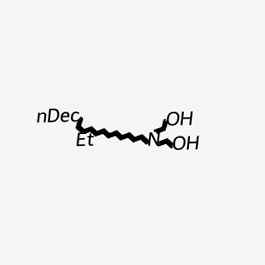 CCCCCCCCCCCCC(CC)CCCCCCCCCCN(CCCO)CCCO